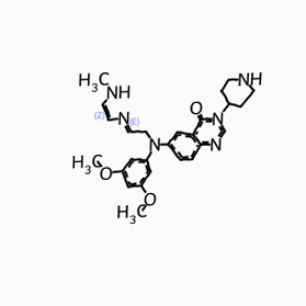 CN/C=C\N=C\CN(c1cc(OC)cc(OC)c1)c1ccc2ncn(C3CCNCC3)c(=O)c2c1